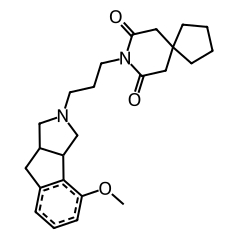 COc1cccc2c1C1CN(CCCN3C(=O)CC4(CCCC4)CC3=O)CC1C2